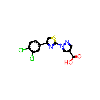 O=C(O)c1cnn(-c2nc(-c3ccc(Cl)c(Cl)c3)cs2)c1